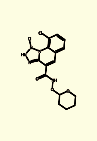 O=C(NOC1CCCCO1)C1=Cc2cccc(Cl)c2N2C1=NNN2Cl